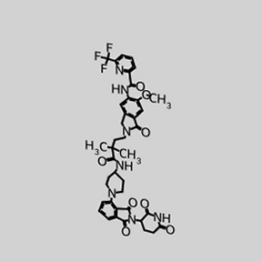 COc1cc2c(cc1NC(=O)c1cccc(C(F)(F)F)n1)CN(CCC(C)(C)C(=O)NC1CCN(c3cccc4c3C(=O)N(C3CCC(=O)NC3=O)C4=O)CC1)C2=O